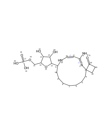 NC1=N\C2(CCCCCCCC(C3OC(COP(=O)(O)O)C(O)C3O)N/C=C\1)CCC2=O